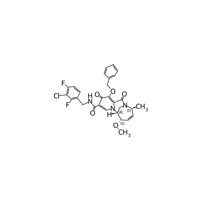 CO[C@H]1C=C[C@H](C)N2C[C@H]1n1cc(C(=O)NCc3ccc(F)c(Cl)c3F)c(=O)c(OCc3ccccc3)c1C2=O